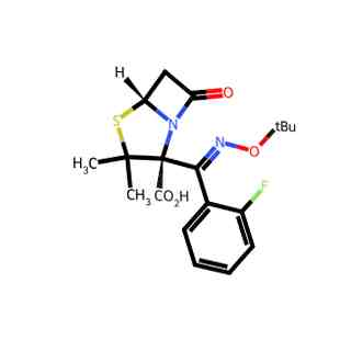 CC(C)(C)ON=C(c1ccccc1F)[C@@]1(C(=O)O)N2C(=O)C[C@H]2SC1(C)C